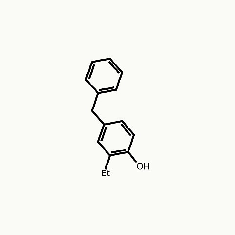 CCc1cc(Cc2ccccc2)ccc1O